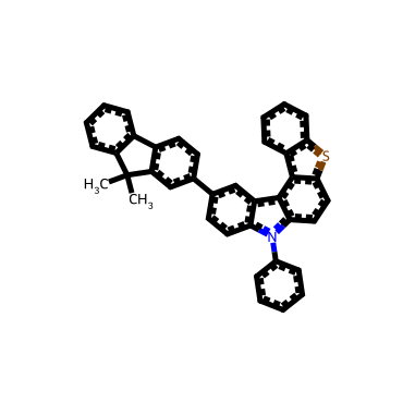 CC1(C)c2ccccc2-c2ccc(-c3ccc4c(c3)c3c5c(ccc3n4-c3ccccc3)sc3ccccc35)cc21